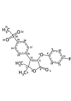 CC1(C)OC(=O)C(Oc2ccc(F)cc2)=C1c1ccc(S(C)(=O)=O)cc1